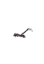 CCCCCCCCCCOCC(Cn1ccnc1)OCc1ccc(C(F)(F)F)cc1